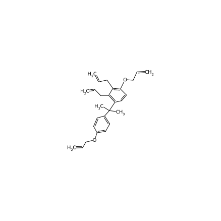 C=CCOc1ccc(C(C)(C)c2ccc(OCC=C)c(CC=C)c2CC=C)cc1